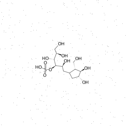 O=S(=O)(O)O[C@@H]([C@H](O)[C@H](O)CO)[C@@H](O)CC1C[C@@H](O)[C@H](O)[C@H]1CO